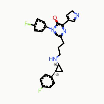 O=c1c(C2=CCN=C2)nc(CCCN[C@@H]2C[C@H]2c2ccc(F)cc2)cn1-c1ccc(F)cc1